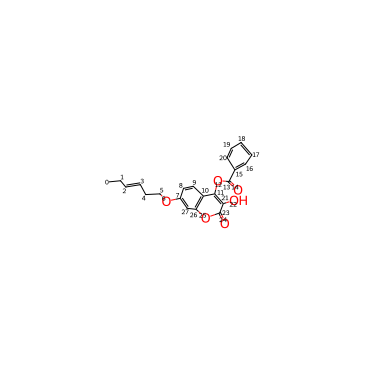 CC/C=C/CCOc1ccc2c(OC(=O)c3ccccc3)c(O)c(=O)oc2c1